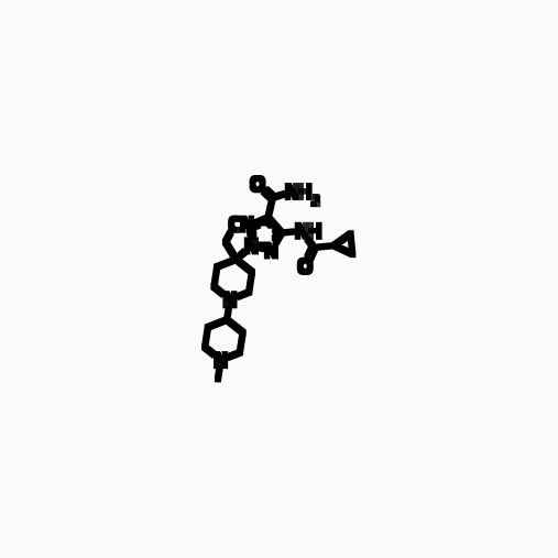 CN1CCC(N2CCC(CC#N)(n3cc(C(N)=O)c(NC(=O)C4CC4)n3)CC2)CC1